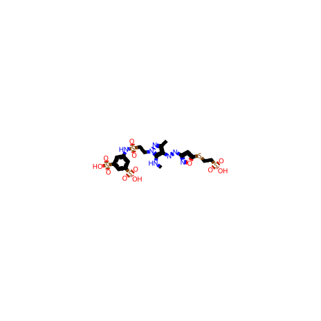 CNc1c(N=Nc2cc(SCCS(=O)(=O)O)on2)c(C)nn1CCS(=O)(=O)Nc1cc(S(=O)(=O)O)cc(S(=O)(=O)O)c1